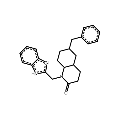 O=C1CCC2CC(Cc3ccccc3)CCC2N1Cc1nc2ccccc2[nH]1